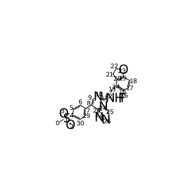 CS(=O)(=O)c1ccc(-c2cnc(NCc3c(F)ccc4c3CCO4)n3cnnc23)cc1